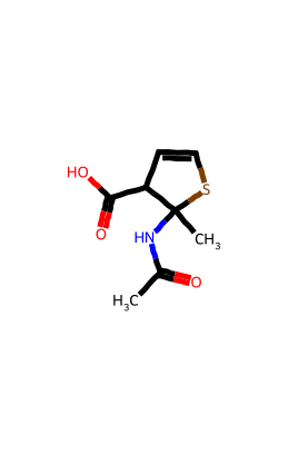 CC(=O)NC1(C)SC=CC1C(=O)O